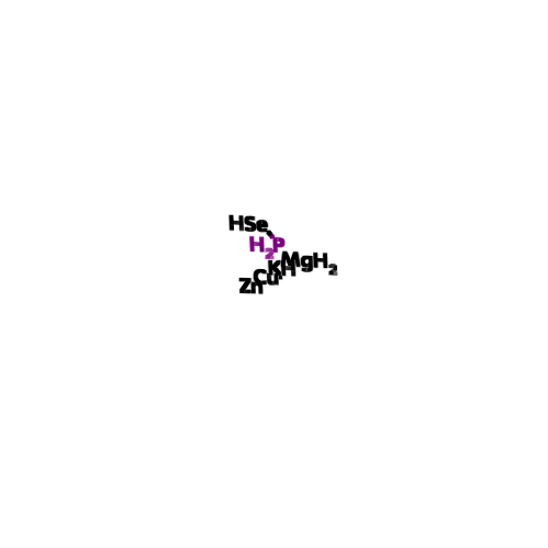 P[SeH].[Cu].[KH].[MgH2].[Zn]